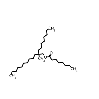 CCCCCCCCCCC(C)(CCCCCCCC)COC(=O)CCCCCCC